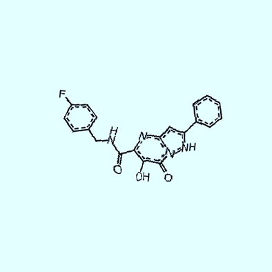 O=C(NCc1ccc(F)cc1)c1nc2cc(-c3ccccc3)[nH]n2c(=O)c1O